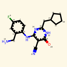 N#Cc1c(Nc2ccc(F)cc2CN)nc(CC2CCCC2)[nH]c1=O